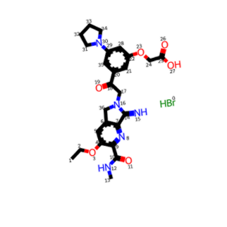 Br.CCOc1cc2c(nc1C(=O)NC)C(=N)N(CC(=O)c1cc(OCC(=O)O)cc(N3CCCC3)c1)C2